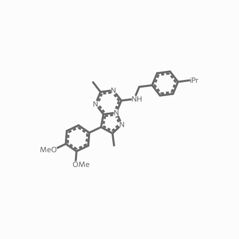 COc1ccc(-c2c(C)nn3c(NCc4ccc(C(C)C)cc4)nc(C)nc23)cc1OC